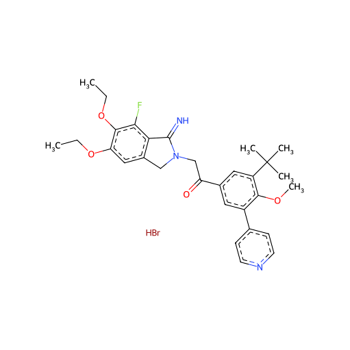 Br.CCOc1cc2c(c(F)c1OCC)C(=N)N(CC(=O)c1cc(-c3ccncc3)c(OC)c(C(C)(C)C)c1)C2